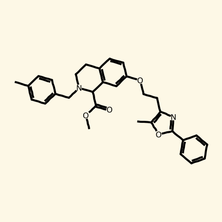 COC(=O)C1c2cc(OCCc3nc(-c4ccccc4)oc3C)ccc2CCN1Cc1ccc(C)cc1